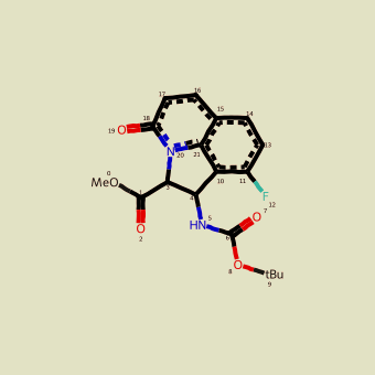 COC(=O)C1C(NC(=O)OC(C)(C)C)c2c(F)ccc3ccc(=O)n1c23